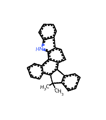 CC1(C)c2ccccc2-c2c1c1ccccc1c1c2ccc2c3ccccc3[nH]c21